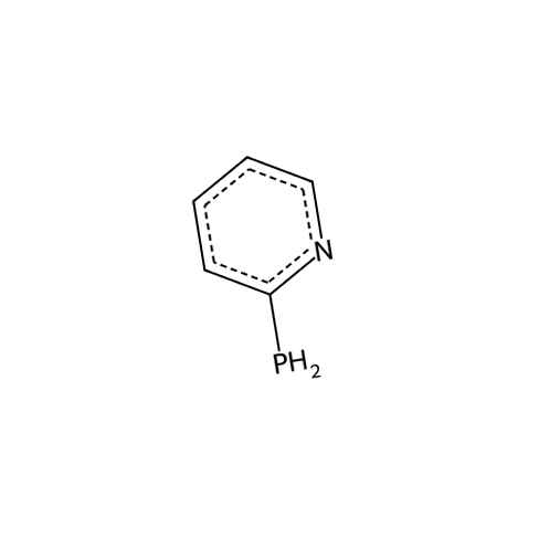 Pc1ccccn1